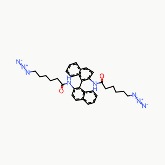 [N-]=[N+]=NCCCCCC(=O)Nc1ccc2ccccc2c1-c1c(NC(=O)CCCCCN=[N+]=[N-])ccc2ccccc12